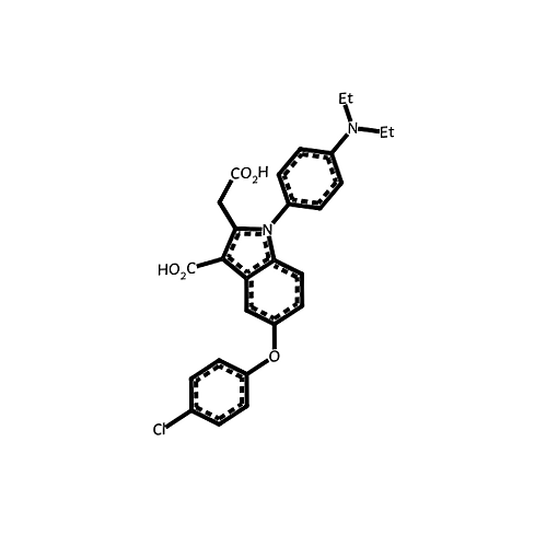 CCN(CC)c1ccc(-n2c(CC(=O)O)c(C(=O)O)c3cc(Oc4ccc(Cl)cc4)ccc32)cc1